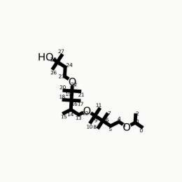 CC(C)OCCC(C)(C)C(C)(C)OCC(C)C(C)(C)C(C)(C)OCCC(C)(C)O